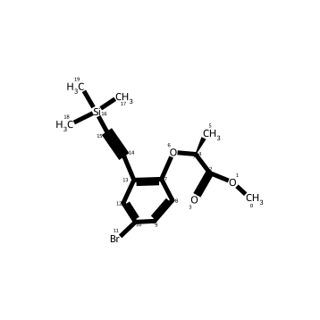 COC(=O)[C@H](C)Oc1ccc(Br)cc1C#C[Si](C)(C)C